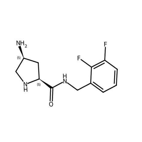 N[C@@H]1CN[C@H](C(=O)NCc2cccc(F)c2F)C1